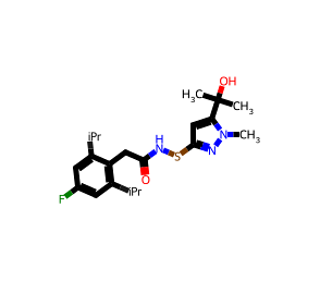 CC(C)c1cc(F)cc(C(C)C)c1CC(=O)NSc1cc(C(C)(C)O)n(C)n1